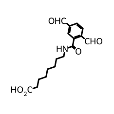 O=Cc1ccc(C=O)c(C(=O)NCCCCCCCC(=O)O)c1